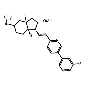 CO[C@H]1C[C@H]2CC(NC(=O)O)CC[C@H]2[C@@H]1/C=C/c1ccc(-c2cccc(F)c2)cn1